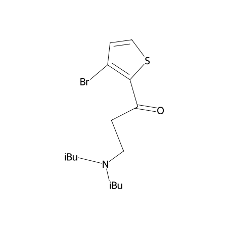 CCC(C)N(CCC(=O)c1sccc1Br)C(C)CC